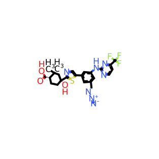 CC1(C)C[C@@](O)(c2ncc(-c3cc(CN=[N+]=[N-])cc(Nc4nccc(C(F)(F)F)n4)c3)s2)CC[C@@H]1C(=O)O